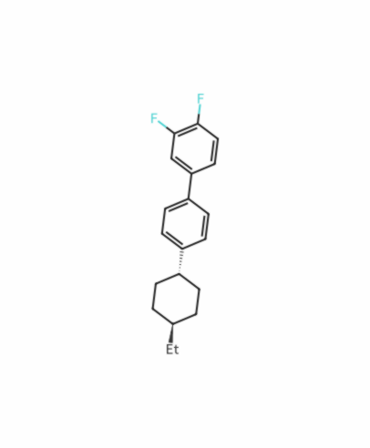 CC[C@H]1CC[C@H](c2ccc(-c3ccc(F)c(F)c3)cc2)CC1